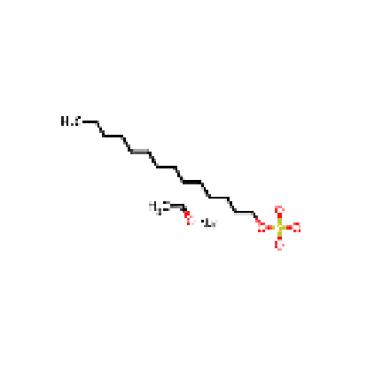 CC=O.CCCCCCCCCCCCCCOS(=O)(=O)[O-].[Na+]